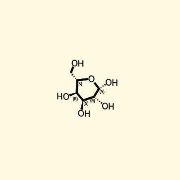 OC[C@@H]1O[C@H](O)[C@H](O)[C@@H](O)[C@H]1O